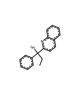 [2H]C(CC)(c1ccccc1)c1ccc2ccccc2n1